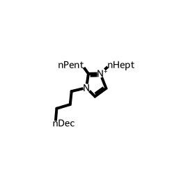 CCCCCCCCCCCCCn1cc[n+](CCCCCCC)c1CCCCC